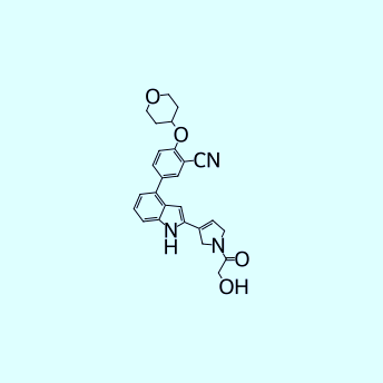 N#Cc1cc(-c2cccc3[nH]c(C4=CCN(C(=O)CO)C4)cc23)ccc1OC1CCOCC1